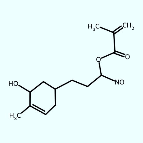 C=C(C)C(=O)OC(CCC1CC=C(C)C(O)C1)N=O